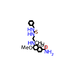 CO[C@H]1Cc2ccc(C(N)=O)cc2C(C)(C)[C@@H]1NCCCNC(=S)NCc1ccccc1